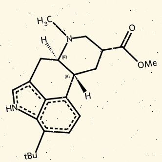 COC(=O)C1C[C@@H]2c3ccc(C(C)(C)C)c4[nH]cc(c34)C[C@H]2N(C)C1